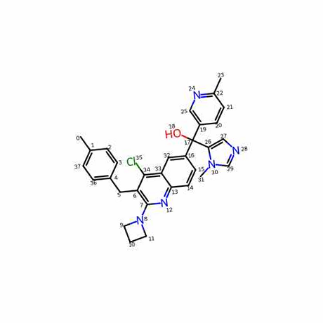 Cc1ccc(Cc2c(N3CCC3)nc3ccc(C(O)(c4ccc(C)nc4)c4cncn4C)cc3c2Cl)cc1